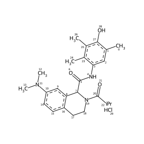 Cc1cc(NC(=O)C2c3cc(N(C)C)ccc3CCN2C(=O)C(C)C)c(C)c(C)c1O.Cl